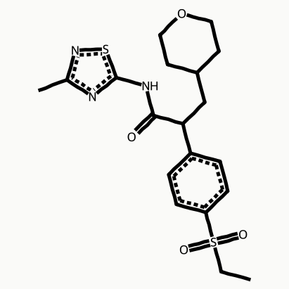 CCS(=O)(=O)c1ccc(C(CC2CCOCC2)C(=O)Nc2nc(C)ns2)cc1